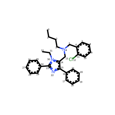 CCCCN(Cc1ccccc1Cl)Cc1c(-c2ccccc2)nc(-c2ccccc2)n1CC